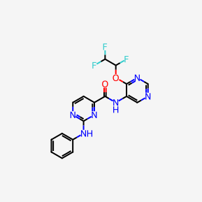 O=C(Nc1cncnc1OC(F)C(F)F)c1ccnc(Nc2ccccc2)n1